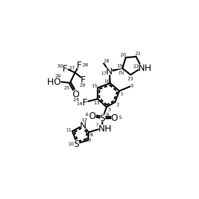 Cc1cc(S(=O)(=O)Nc2cscn2)c(F)cc1N(C)[C@H]1CCNC1.O=C(O)C(F)(F)F